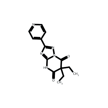 CCC1(CC)C(=O)Nc2nc(-c3ccncc3)nn2C1=O